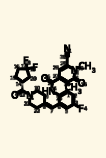 Cc1cc(F)cc(C=C2CCN(C(=O)[C@@H]3CCC(F)(F)C3)CC2)c1NC(=O)c1cc(C#N)n(C)c(=O)c1